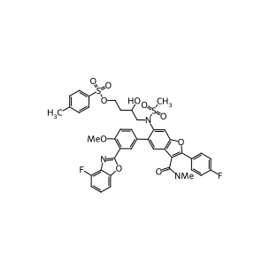 CNC(=O)c1c(-c2ccc(F)cc2)oc2cc(N(CC(O)CCOS(=O)(=O)c3ccc(C)cc3)S(C)(=O)=O)c(-c3ccc(OC)c(-c4nc5c(F)cccc5o4)c3)cc12